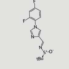 CC(C)(C)[S@+]([O-])/N=C/c1cn(-c2ccc(F)cc2F)cn1